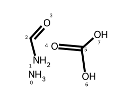 N.NC=O.O=C(O)O